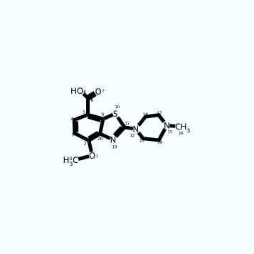 COc1ccc(C(=O)O)c2sc(N3CCN(C)CC3)nc12